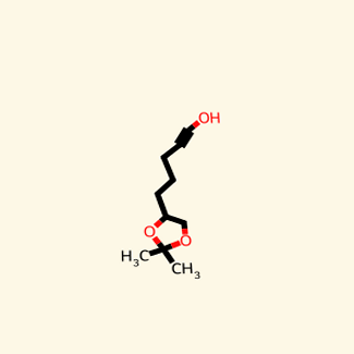 CC1(C)OCC(CCCC#CO)O1